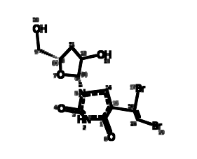 O=c1[nH]c(=O)n([C@@H]2O[C@H](CO)CC2O)cc1C(Br)=CBr